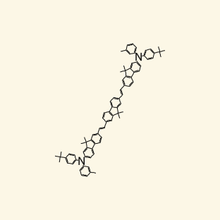 Cc1cccc(N(c2ccc(C(C)(C)C)cc2)c2ccc3c(c2)C(C)(C)c2cc(/C=C/c4ccc5c(c4)C(C)(C)c4cc(/C=C/c6ccc7c(c6)C(C)(C)c6cc(N(c8ccc(C(C)(C)C)cc8)c8cccc(C)c8)ccc6-7)ccc4-5)ccc2-3)c1